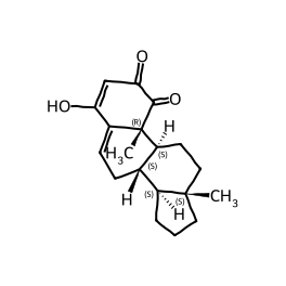 C[C@@]12CCC[C@H]1[C@@H]1CC=C3C(O)=CC(=O)C(=O)[C@]3(C)[C@H]1CC2